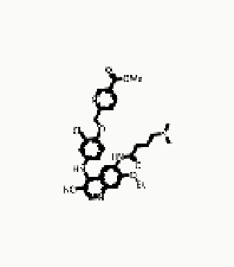 CCOc1cc2ncc(C#N)c(Nc3ccc(OCc4ccc(C(=O)OC)cn4)c(Cl)c3)c2cc1NC(=O)CCCN(C)C